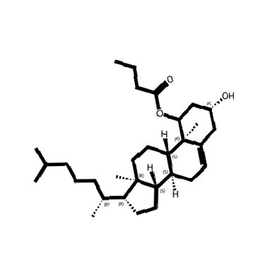 CCCC(=O)OC1C[C@H](O)CC2=CC[C@H]3[C@@H]4CC[C@H]([C@H](C)CCCC(C)C)[C@@]4(C)CC[C@@H]3[C@]21C